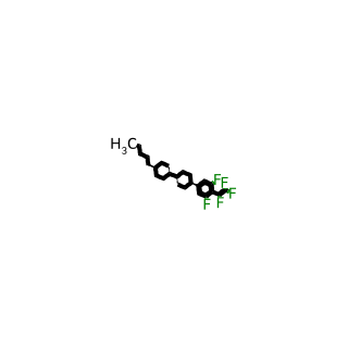 CCCCC[C@H]1CC[C@H]([C@H]2CC[C@H](c3cc(F)c(C(F)=C(F)F)c(F)c3)CC2)CC1